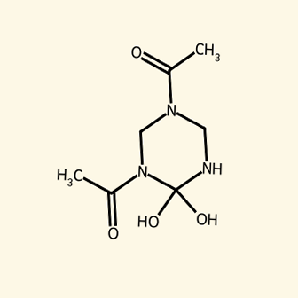 CC(=O)N1CNC(O)(O)N(C(C)=O)C1